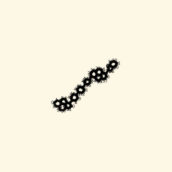 C1=Cc2ccc3c(-c4ccc(-c5ccc(-c6ccc(-c7ccc8ccc9c(C%10Cc%11ccccc%11S%10)ccc%10ccc7c8c%109)cc6)cc5)cc4)ccc4c3c2C(=CC4)C1